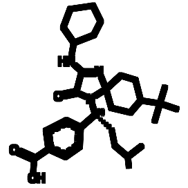 CC(C)CC[C@H](c1ccc(C(=O)O)cc1)N1C(=O)C(NC2CCCCC2)=NC12CCC(C(C)(C)C)CC2